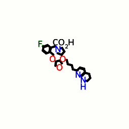 O=C(O)C(c1cc(F)ccc1CO[C@@H]1CCOC1)N1CC[C@@H](OCCCCc2ccc3c(n2)NCCC3)C1